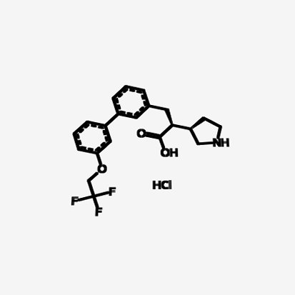 Cl.O=C(O)[C@@H](Cc1cccc(-c2cccc(OCC(F)(F)F)c2)c1)[C@H]1CCNC1